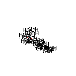 CC1OC(OC2C(OC(=O)C34CCC(C)(C)CC3C3=CCC5C6(C)CC(O)C(OC7OC(COC8OC(CO)C(O)C(O)C8O)C(O)C(O)C7O)C(C)(CO)C6C(O)CC5(C)C3(C)CC4)OCC(O)C2O)C(O)C(O)C1OC1OCC(O)C(OC2OCC(O)(CO)C2O)C1O